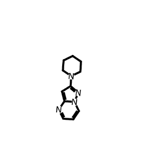 c1cnc2cc(N3CCCCC3)nn2c1